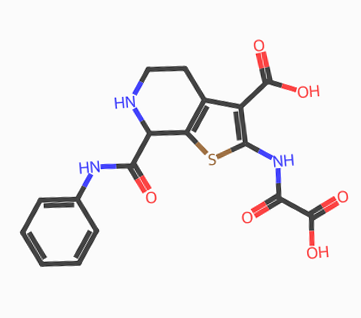 O=C(O)C(=O)Nc1sc2c(c1C(=O)O)CCNC2C(=O)Nc1ccccc1